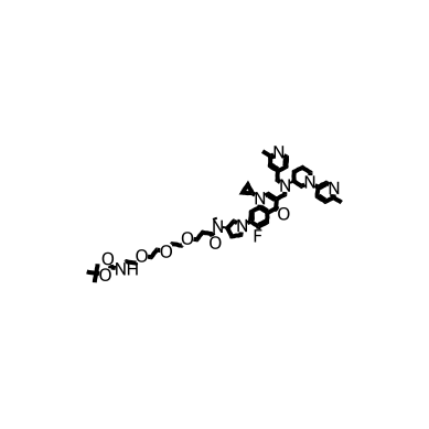 Cc1ccc(N2CCC[C@H](N(Cc3ccnc(C)c3)Cc3cn(C4CC4)c4cc(N5CC[C@@H](N(C)C(=O)CCOCCOCCOCCNC(=O)OC(C)(C)C)C5)c(F)cc4c3=O)C2)cn1